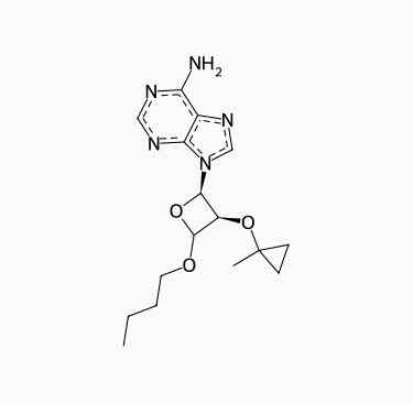 CCCCOC1O[C@@H](n2cnc3c(N)ncnc32)[C@H]1OC1(C)CC1